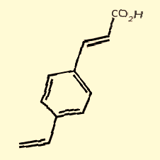 C=Cc1ccc(C=CC(=O)O)cc1